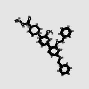 Cc1nc(-c2ccc(OCc3ccccc3)nc2OCc2ccccc2)ccc1N1CCN(C(=O)OC(C)(C)C)CC1